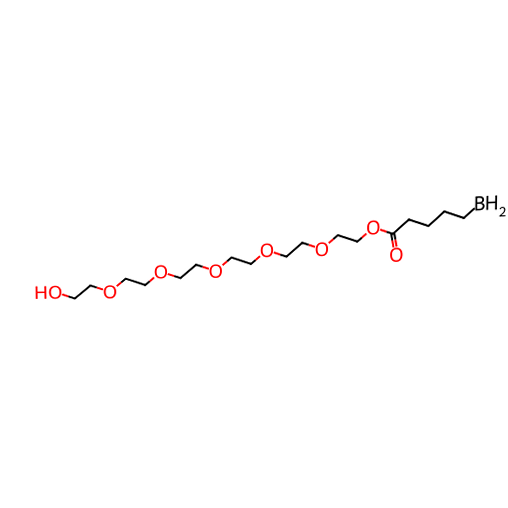 BCCCCC(=O)OCCOCCOCCOCCOCCOCCO